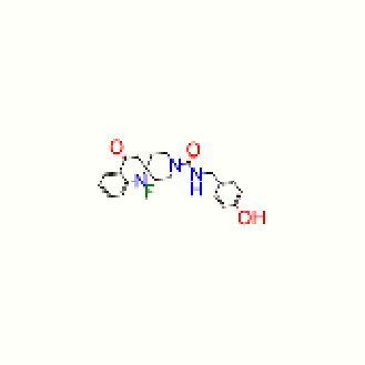 O=C1CC2(CCN(C(=O)NCc3ccc(O)cc3)CC2)N(F)c2ccccc21